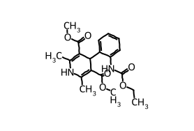 CCOC(=O)Nc1ccccc1C1C(C(=O)OC)=C(C)NC(C)=C1C(=O)OC